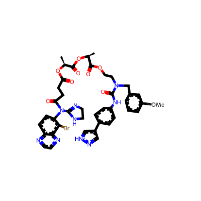 COc1cccc(CN(CCOC(=O)[C@H](C)OC(=O)[C@H](C)OC(=O)CCC(=O)N(C2=NCCN2)c2ccc3nccnc3c2Br)C(=O)Nc2ccc(-c3cn[nH]c3)cc2)c1